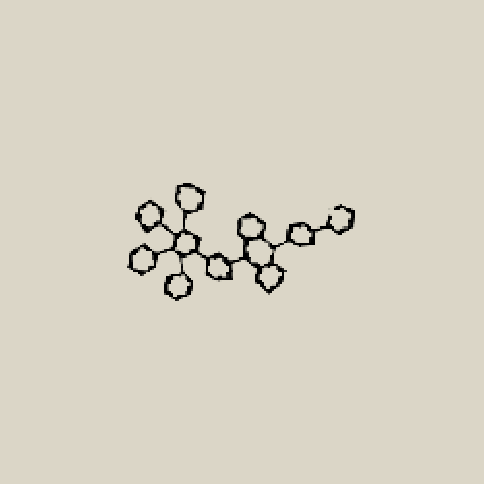 c1ccc(-c2cc(-c3cccc(-c4c5ccccc5c(-c5ccc(-c6ccccn6)cc5)c5ccccc45)c3)c(-c3ccccc3)c(-c3ccccc3)c2-c2ccccc2)cc1